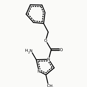 Cc1cn(C(=O)OCc2ccccc2)c(N)n1